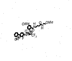 COCCNC(=O)CCCNC(=O)c1cc(OC)ccc1-n1nc(C(F)(F)F)cc1C(=O)Nc1ccc(-c2ccccc2S(C)(=O)=O)cc1F